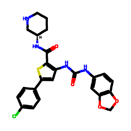 O=C(Nc1ccc2c(c1)OCO2)Nc1cc(-c2ccc(Cl)cc2)sc1C(=O)N[C@H]1CCCNC1